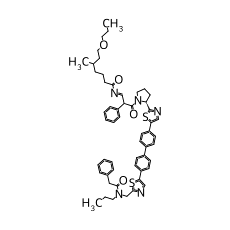 CCCOCCC(C)CCCC(=O)/N=C/C(C(=O)N1CCC[C@H]1c1ncc(-c2ccc(-c3ccc(-c4cnc(CN(CCC)C(=O)Cc5ccccc5)s4)cc3)cc2)s1)c1ccccc1